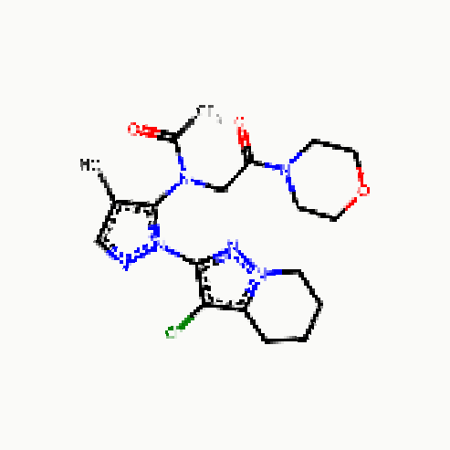 N#Cc1cnn(-c2nn3c(c2Cl)CCCC3)c1N(CC(=O)N1CCOCC1)C(=O)C(F)(F)F